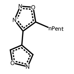 CCCCCc1onnc1-c1cnoc1